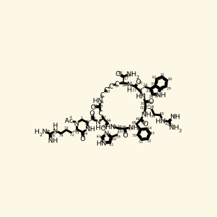 CC(=O)N1C[C@H](C(=O)N[C@H]2CC(=O)NCCCC[C@@H](C(N)=O)NC(=O)[C@H](Cc3c[nH]c4ccccc34)NC(=O)[C@H](CCCNC(=N)N)NC(=O)C(c3ccccc3)NC(=O)[C@H](Cc3c[nH]cn3)NC2=O)NC(=O)[C@@H]1CCCNC(=N)N